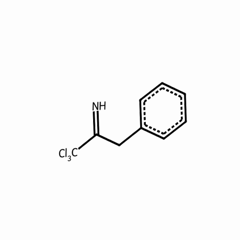 N=C(Cc1ccccc1)C(Cl)(Cl)Cl